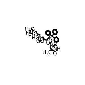 Cc1cn(C2CN(C(c3ccccc3)(c3ccccc3)c3ccccc3)CC(CCN(CCCN(C)C(=O)C(F)(F)F)P(=O)(O)Cl)O2)c(=O)[nH]c1=O